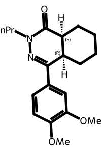 CCCN1N=C(c2ccc(OC)c(OC)c2)[C@@H]2CCCC[C@@H]2C1=O